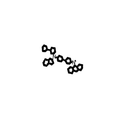 CN(c1ccc(-c2ccc(N(c3cccc(-c4ccccc4)c3)c3ccc4ccccc4c3)cc2)cc1)c1c2ccccc2cc2ccccc12